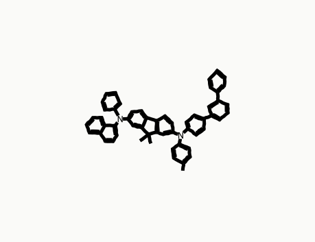 Cc1ccc(N(c2ccc(-c3cccc(-c4ccccc4)c3)cc2)c2ccc3c(c2)C(C)(C)c2cc(N(c4ccccc4)c4cccc5ccccc45)ccc2-3)cc1